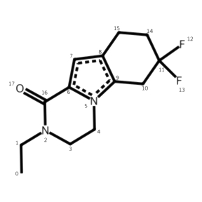 CCN1CCn2c(cc3c2CC(F)(F)CC3)C1=O